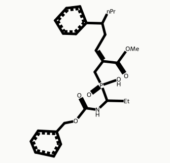 CCCC(CC=C(CP(=O)(O)C(CC)NC(=O)OCc1ccccc1)C(=O)OC)c1ccccc1